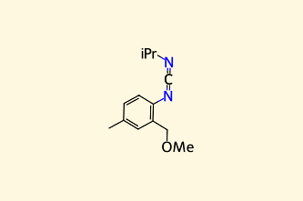 COCc1cc(C)ccc1N=C=NC(C)C